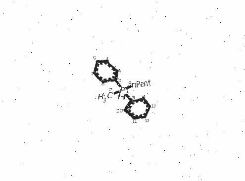 CCCCC[PH](C)(c1ccccc1)c1ccccc1